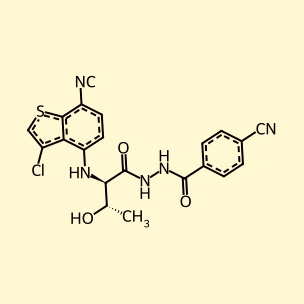 [C-]#[N+]c1ccc(N[C@@H](C(=O)NNC(=O)c2ccc(C#N)cc2)[C@H](C)O)c2c(Cl)csc12